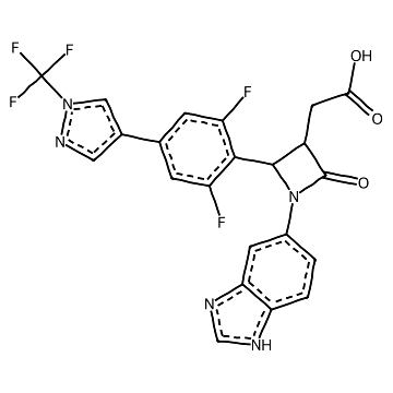 O=C(O)CC1C(=O)N(c2ccc3[nH]cnc3c2)C1c1c(F)cc(-c2cnn(C(F)(F)F)c2)cc1F